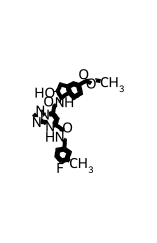 CCOC(=O)c1ccc2c(c1)C[C@@H](O)[C@@H]2NC(=O)c1cc(C(=O)NCc2ccc(F)c(C)c2)nc2ncnn12